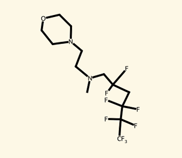 CN(CCN1CCOCC1)CC(F)(F)CC(F)(F)C(F)(F)C(F)(F)F